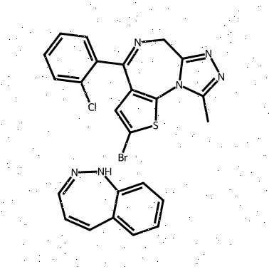 C1=Cc2ccccc2NN=C1.Cc1nnc2n1-c1sc(Br)cc1C(c1ccccc1Cl)=NC2